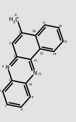 Cc1cc2nc3ccccc3nc2c2ccccc12